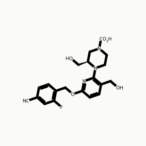 N#Cc1ccc(COc2ccc(CO)c(N3CCN(C(=O)O)C[C@@H]3CO)n2)c(F)c1